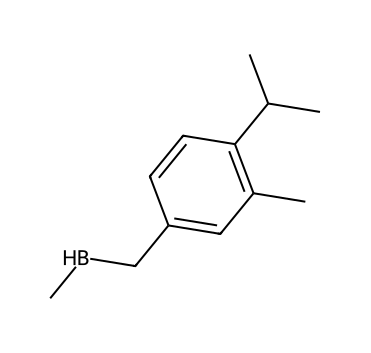 CBCc1ccc(C(C)C)c(C)c1